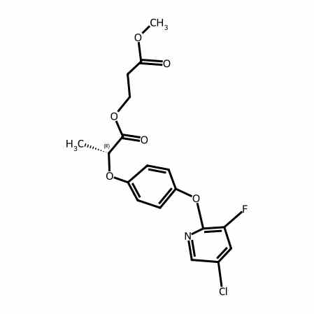 COC(=O)CCOC(=O)[C@@H](C)Oc1ccc(Oc2ncc(Cl)cc2F)cc1